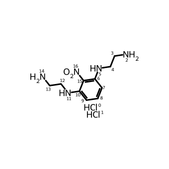 Cl.Cl.NCCNc1cccc(NCCN)c1[N+](=O)[O-]